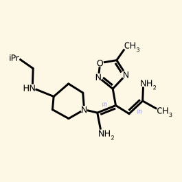 C/C(N)=C/C(=C(\N)N1CCC(NCC(C)C)CC1)c1noc(C)n1